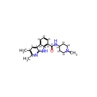 Cc1cc2c(nc1C)[nH]c1c(C(=O)NC3CCN(C)CC3)cccc12